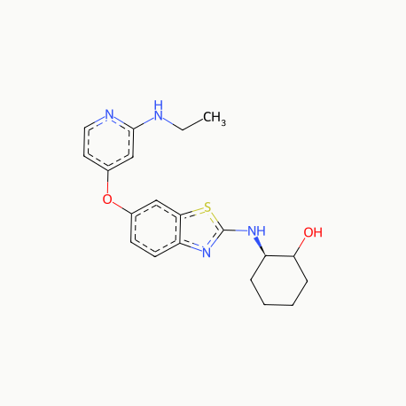 CCNc1cc(Oc2ccc3nc(N[C@@H]4CCCCC4O)sc3c2)ccn1